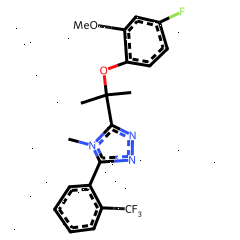 COc1cc(F)ccc1OC(C)(C)c1nnc(-c2ccccc2C(F)(F)F)n1C